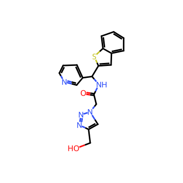 O=C(Cn1cc(CO)nn1)NC(c1cccnc1)c1cc2ccccc2s1